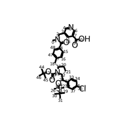 CN(Cc1cncc(C(=O)O)c1)C(=O)c1ccc(C[C@@H]2CC[C@H]([C@H](O[Si](C)(C)C(C)(C)C)c3ccc(Cl)cc3)N2C(=O)OC(C)(C)C)cc1